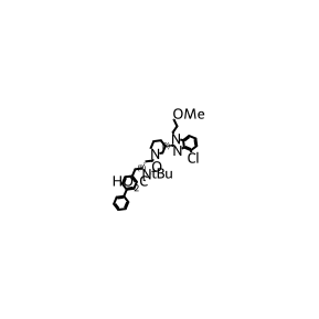 COCCCn1c([C@@H]2CCCN(C(=O)C[C@@H](Cc3ccc(-c4ccccc4)cc3)N(C(=O)O)C(C)(C)C)C2)nc2c(Cl)cccc21